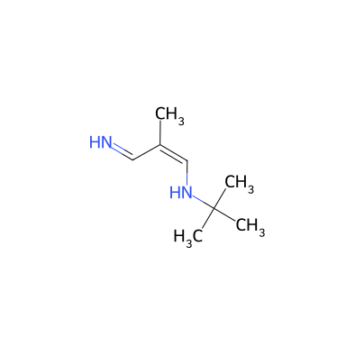 C/C(C=N)=C/NC(C)(C)C